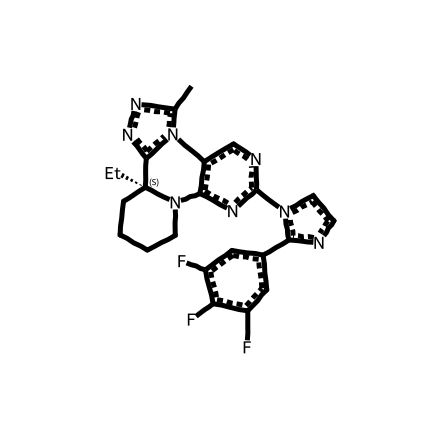 CC[C@@]12CCCCN1c1nc(-n3ccnc3-c3cc(F)c(F)c(F)c3)ncc1-n1c(C)nnc12